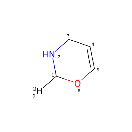 [2H]C1NCC=CO1